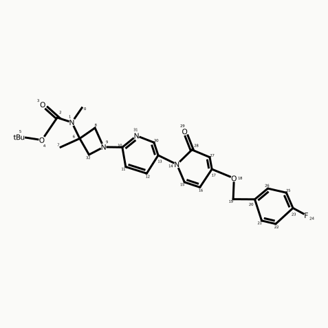 CN(C(=O)OC(C)(C)C)C1(C)CN(c2ccc(-n3ccc(OCc4ccc(F)cc4)cc3=O)cn2)C1